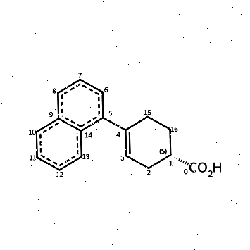 O=C(O)[C@@H]1CC=C(c2cccc3ccccc23)CC1